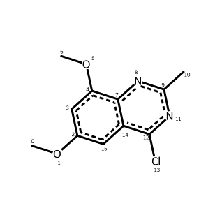 COc1cc(OC)c2nc(C)nc(Cl)c2c1